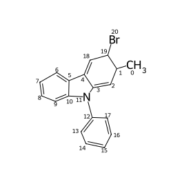 CC1C=c2c(c3ccccc3n2-c2ccccc2)=CC1Br